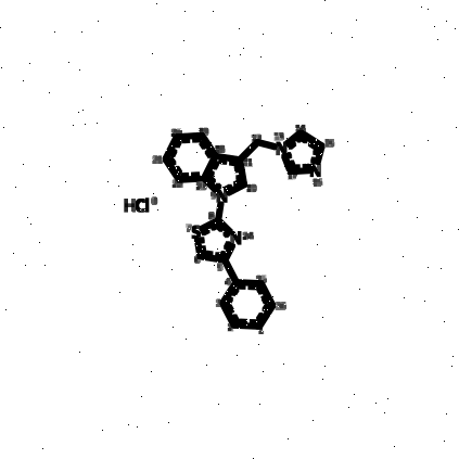 Cl.c1ccc(-c2csc(-n3cc(Cn4ccnc4)c4ccccc43)n2)cc1